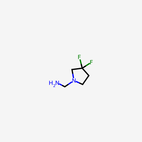 NCN1CCC(F)(F)C1